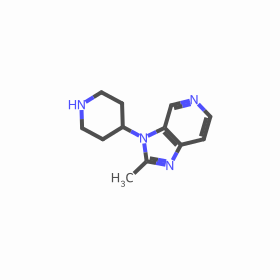 Cc1nc2ccncc2n1C1CCNCC1